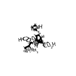 CC(C)C[C@H](N)C(=O)N[C@@]1(C(=O)O)C[C@H](Sc2nnc[nH]2)[C@H]2[C@H](C(=O)O)[C@H]21